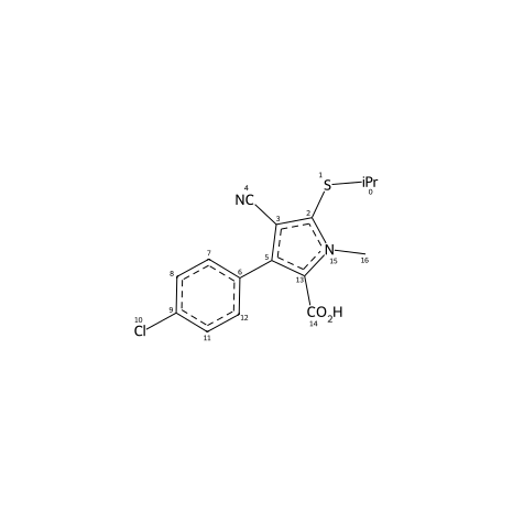 CC(C)Sc1c(C#N)c(-c2ccc(Cl)cc2)c(C(=O)O)n1C